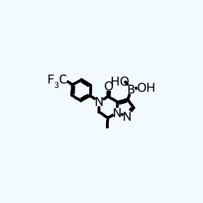 CC1CN(c2ccc(C(F)(F)F)cc2)C(=O)c2c(B(O)O)cnn21